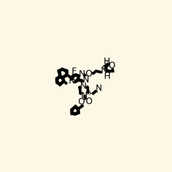 Cc1cccc2cccc(-c3ncc4c(N5CCN(C(=O)OCc6ccccc6)[C@@H](CC#N)C5)nc(OCCCN5C[C@@H]6C[C@H]5CO6)nc4c3F)c12